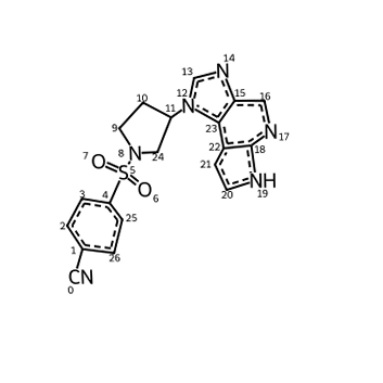 N#Cc1ccc(S(=O)(=O)N2CCC(n3cnc4cnc5[nH]ccc5c43)C2)cc1